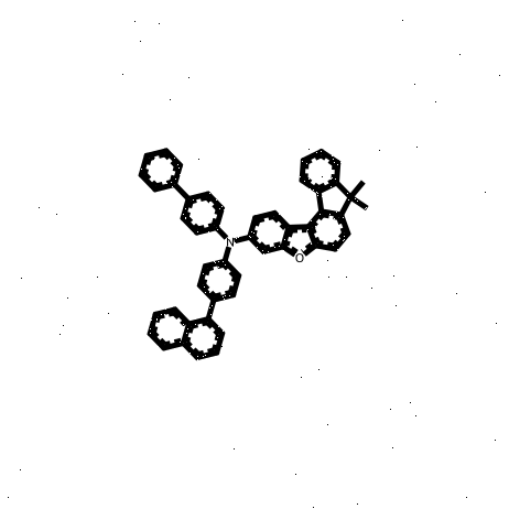 CC1(C)c2ccccc2-c2c1ccc1oc3cc(N(c4ccc(-c5ccccc5)cc4)c4ccc(-c5cccc6ccccc56)cc4)ccc3c21